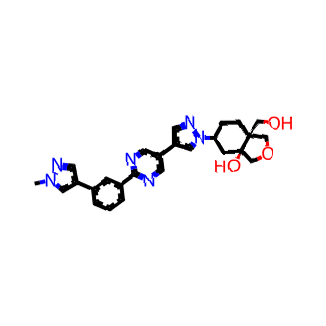 Cn1cc(-c2cccc(-c3ncc(-c4cnn(C5CC[C@]6(CO)COC[C@]6(O)C5)c4)cn3)c2)cn1